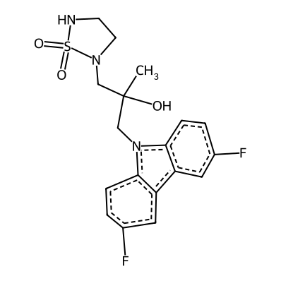 CC(O)(CN1CCNS1(=O)=O)Cn1c2ccc(F)cc2c2cc(F)ccc21